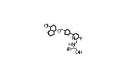 CC(C)[C@H](CO)NCc1nc(-c2ccc(COc3ccc(Cl)c4ccccc34)cc2)ccc1F